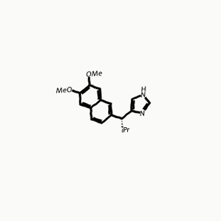 COc1cc2ccc([C@H](c3c[nH]cn3)C(C)C)cc2cc1OC